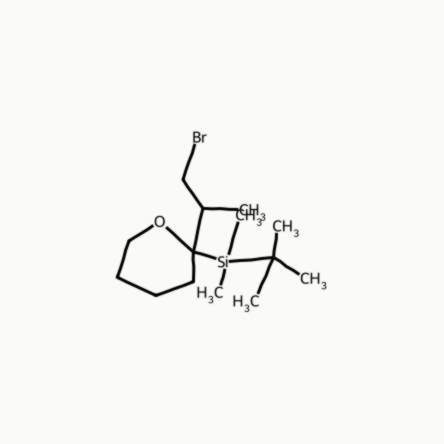 CC(CBr)C1([Si](C)(C)C(C)(C)C)CCCCO1